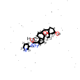 C[C@]12CC=C3C=C4CCC(=O)C[C@]45CC[C@]3(O5)[C@@H]1CC=C2C(=O)Nc1cccnc1